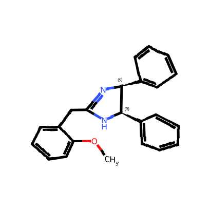 COc1ccccc1CC1=N[C@@H](c2ccccc2)[C@@H](c2ccccc2)N1